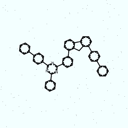 c1ccc(-c2ccc(-c3nc(-c4ccccc4)nc(-c4cccc(-c5cccc6c5Cc5c(-c7ccc(-c8ccccc8)cc7)cccc5-6)c4)n3)cc2)cc1